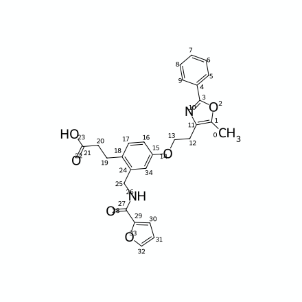 Cc1oc(-c2ccccc2)nc1CCOc1ccc(CCC(=O)O)c(CNC(=O)c2ccco2)c1